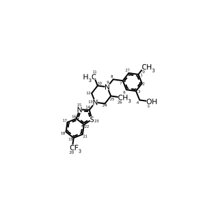 Cc1cc(CO)cc(CN2C(C)CN(c3nc4ccc(C(F)(F)F)cc4s3)CC2C)c1